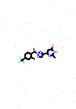 Cc1nc(-c2cnn([C@H](C)c3ccc(C(F)(F)F)cc3C)n2)cc(=O)[nH]1